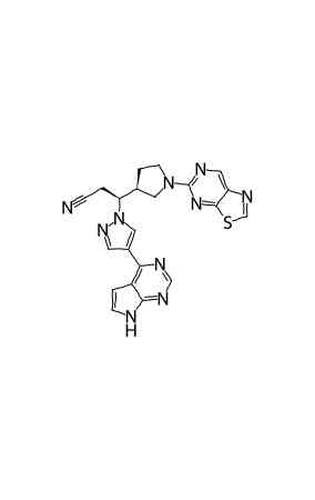 N#CC[C@@H]([C@H]1CCN(c2ncc3ncsc3n2)C1)n1cc(-c2ncnc3[nH]ccc23)cn1